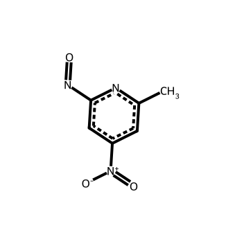 Cc1cc([N+](=O)[O-])cc(N=O)n1